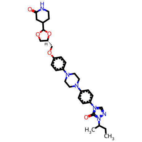 CCC(C)n1ncn(-c2ccc(N3CCN(c4ccc(OC[C@@H]5COC(C6CCNC(=O)C6)O5)cc4)CC3)cc2)c1=O